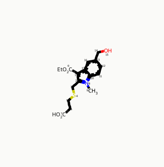 CCOC(=O)c1c(CSCCC(=O)O)n(C)c2ccc(CO)cc12